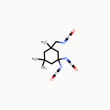 CC1(C)CC(C)(CN=C=O)CC(N=C=O)(N=C=O)C1